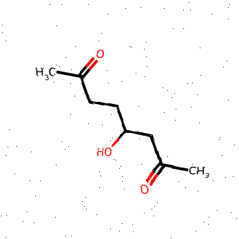 CC(=O)CCC(O)CC(C)=O